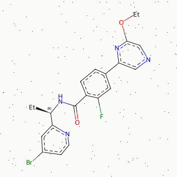 CCOc1cncc(-c2ccc(C(=O)N[C@H](CC)c3cc(Br)ccn3)c(F)c2)n1